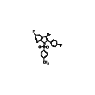 Cc1ccc(S(=O)(=O)n2c(-c3ccc(F)cc3)c(Br)c3cc(F)cnc32)cc1